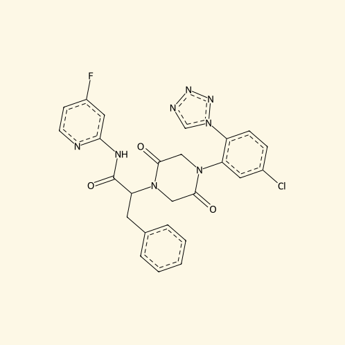 O=C(Nc1cc(F)ccn1)C(Cc1ccccc1)N1CC(=O)N(c2cc(Cl)ccc2-n2cnnn2)CC1=O